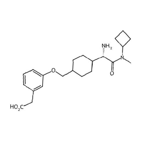 CN(C(=O)[C@@H](N)C1CCC(COc2cccc(CC(=O)O)c2)CC1)C1CCC1